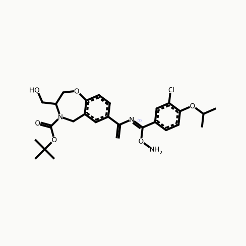 C=C(/N=C(\ON)c1ccc(OC(C)C)c(Cl)c1)c1ccc2c(c1)CN(C(=O)OC(C)(C)C)C(CO)CO2